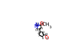 COc1cc(-c2cccc(C=O)c2)cnn1